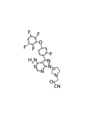 N#CC(=O)CN1CC[C@@H](n2nc(-c3ccc(Oc4c(F)c(F)cc(F)c4F)cc3F)c3c(N)ncnc32)C1